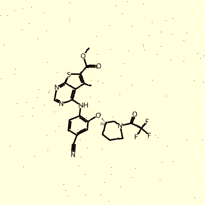 COC(=O)c1sc2ncnc(Nc3ccc(C#N)cc3O[C@H]3CCCN(C(=O)C(F)(F)F)C3)c2c1C